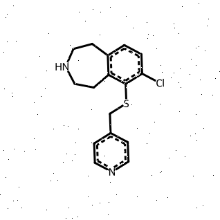 Clc1ccc2c(c1SCc1ccncc1)CCNCC2